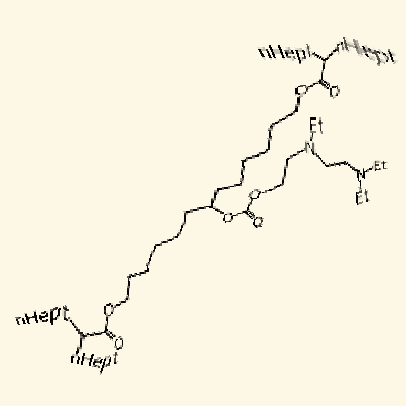 CCCCCCCC(CCCCCCC)C(=O)OCCCCCCC(CCCCCCOC(=O)C(CCCCCCC)CCCCCCC)OC(=O)OCCN(CC)CCN(CC)CC